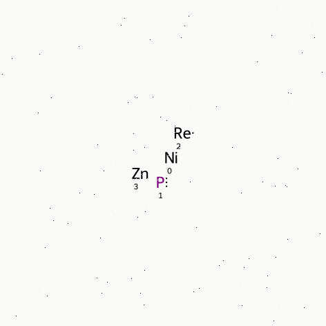 [Ni].[P].[Re].[Zn]